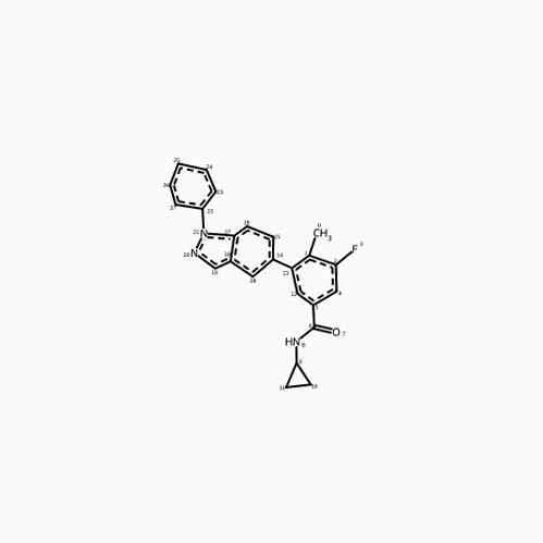 Cc1c(F)cc(C(=O)NC2CC2)cc1-c1ccc2c(cnn2-c2ccccc2)c1